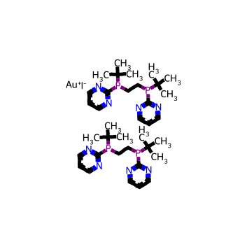 CC(C)(C)P(CCP(c1ncccn1)C(C)(C)C)c1ncccn1.CC(C)(C)P(CCP(c1ncccn1)C(C)(C)C)c1ncccn1.[Au+].[I-]